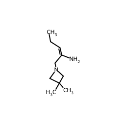 CC/C=C(/N)CN1CC(C)(C)C1